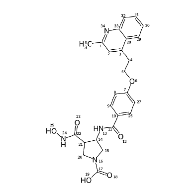 Cc1cc(CCOc2ccc(C(=O)NC3CN(C(=O)O)CC3C(=O)NO)cc2)c2ccccc2n1